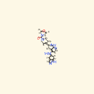 C[C@@H]1CN(C(=O)N2CC=C(C3Cc4c(Nc5ccc6[nH]ncc6c5)ccnc4N3)CC2)C[C@H](C)O1